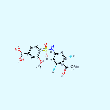 CCOc1cc(B(O)O)ccc1S(=O)(=O)Nc1cc(F)c(C(=O)OC)c(F)c1